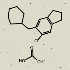 Clc1cc2c(cc1CC1CCCCC1)CCC2.O=C(O)O